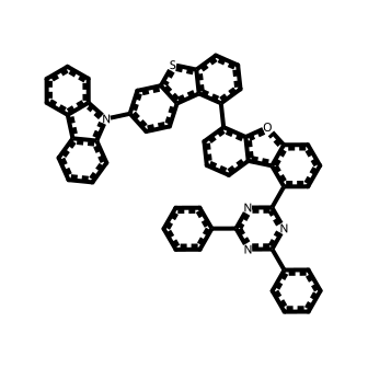 c1ccc(-c2nc(-c3ccccc3)nc(-c3cccc4oc5c(-c6cccc7sc8cc(-n9c%10ccccc%10c%10ccccc%109)ccc8c67)cccc5c34)n2)cc1